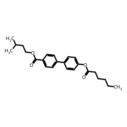 CCCCCC(=O)Oc1ccc(-c2ccc(C(=O)OCCC(C)C)cc2)cc1